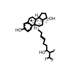 C=C[C@@]12CCc3cc(O)ccc3[C@H]1[C@@H](CC/C=C/CCC(O)C(F)C(F)F)C[C@@]1(C)[C@H]2CC[C@@H]1O